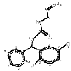 C=CCNC(=O)OC(c1cnccn1)c1cc(Cl)ccc1F